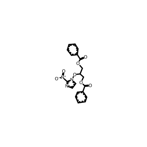 O=C(OCC(COC(=O)c1ccccc1)On1ccnc1[N+](=O)[O-])c1ccccc1